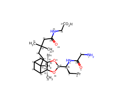 CC(C)C[C@H](NC(=O)CN)B1O[C@@H]2CC3CC(C3(C)CCC(C)(C)CC(=O)NCC(=O)O)[C@]2(C)O1